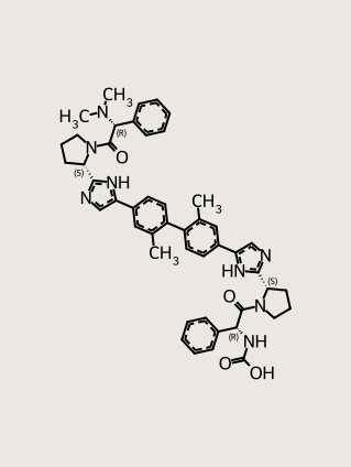 Cc1cc(-c2cnc([C@@H]3CCCN3C(=O)[C@H](NC(=O)O)c3ccccc3)[nH]2)ccc1-c1ccc(-c2cnc([C@@H]3CCCN3C(=O)[C@@H](c3ccccc3)N(C)C)[nH]2)cc1C